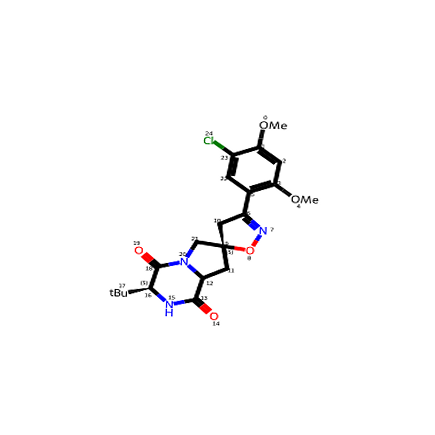 COc1cc(OC)c(C2=NO[C@]3(C2)CC2C(=O)N[C@@H](C(C)(C)C)C(=O)N2C3)cc1Cl